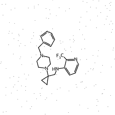 FC(F)(F)c1ncccc1NCC1(N2CCN(Cc3ccccc3)CC2)CC1